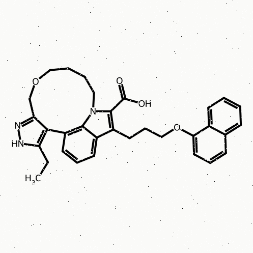 CCc1[nH]nc2c1-c1cccc3c(CCCOc4cccc5ccccc45)c(C(=O)O)n(c13)CCCCOC2